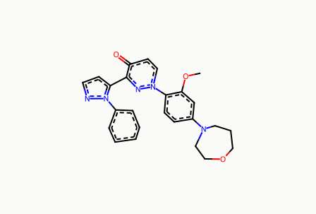 COc1cc(N2CCCOCC2)ccc1-n1ccc(=O)c(-c2ccnn2-c2ccccc2)n1